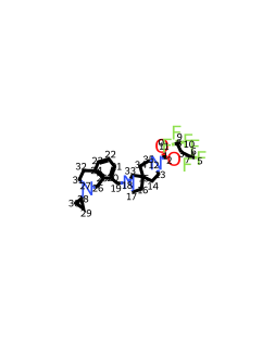 O=C(OC(C(F)(F)F)C(F)(F)F)N1CCC2(CCN(Cc3cccc4c3CN(C3CC3)CC4)C2)CC1